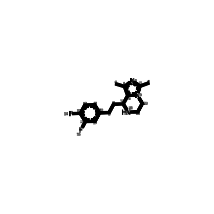 Cc1nc(C)n2c1C(CCc1ccc(F)c(F)c1)NCC2